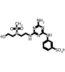 CS(=O)(=O)N(CCO)CCNc1nc(N)nc(Nc2cccc(S(=O)(=O)O)c2)n1